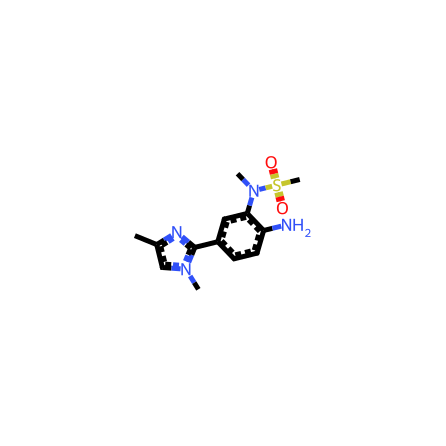 Cc1cn(C)c(-c2ccc(N)c(N(C)S(C)(=O)=O)c2)n1